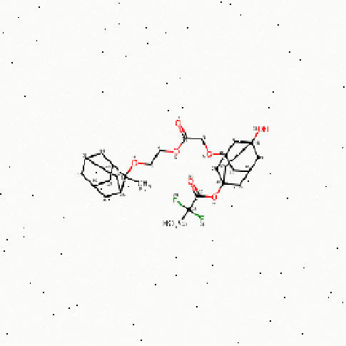 CC1(OCCOC(=O)COC23CC4CC(O)(C2)CC(OC(=O)C(F)(F)S(=O)(=O)O)(C4)C3)C2CC3CC(C2)CC1C3